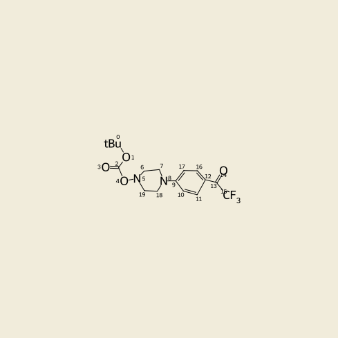 CC(C)(C)OC(=O)ON1CCN(c2ccc(C(=O)C(F)(F)F)cc2)CC1